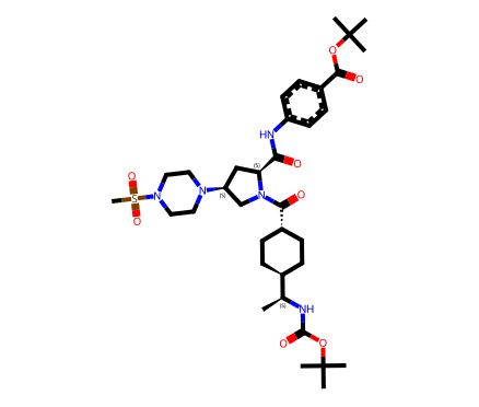 C[C@H](NC(=O)OC(C)(C)C)[C@H]1CC[C@H](C(=O)N2C[C@@H](N3CCN(S(C)(=O)=O)CC3)C[C@H]2C(=O)Nc2ccc(C(=O)OC(C)(C)C)cc2)CC1